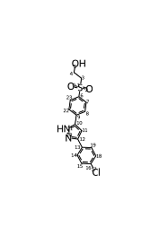 O=S(=O)(CCO)c1ccc(-c2cc(-c3ccc(Cl)cc3)n[nH]2)cc1